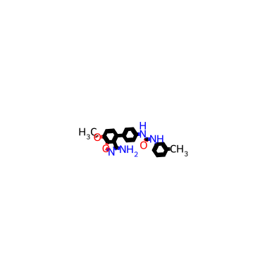 COc1ccc(-c2ccc(NC(=O)Nc3cccc(C)c3)cc2)c2c(N)noc12